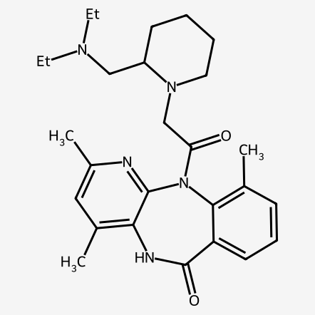 CCN(CC)CC1CCCCN1CC(=O)N1c2nc(C)cc(C)c2NC(=O)c2cccc(C)c21